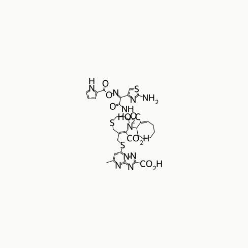 Cc1cc(SC/C2=C(\C(=O)O)N(C3CCCCC/C=C\3C(=O)O)C(=O)[C@@H](NC(=O)/C(=N\OC(=O)c3ccc[nH]3)c3csc(N)n3)CSC2)n2nc(C(=O)O)nc2n1